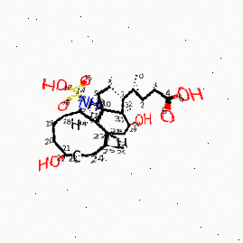 C[C@H](CCC(=O)O)[C@H]1CC[C@H]2[C@@H]3C(NS(=O)(=O)O)CCC[C@H](O)CC[C@H](C)[C@H]3C[C@H](O)[C@]12C